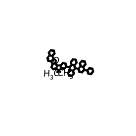 CC1(C)c2cc(-c3c4ccccc4c(-c4ccc(-c5ccccc5)c5ccccc45)c4ccccc34)ccc2-c2c1ccc1c2oc2c3ccccc3ccc12